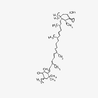 CC1=C(/C=C/C(C)=C/C=C/C(C)=C/C=C/C=C(C)/C=C/C=C(C)/C=C/C2=C(C)C(=O)[C@@H](O)CC2(C)C)C(C)(C)C[C@@H](C)C1=O